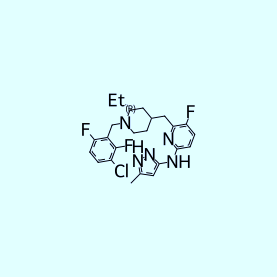 CC[C@@H]1CC(Cc2nc(Nc3cc(C)[nH]n3)ccc2F)CCN1Cc1c(F)ccc(Cl)c1F